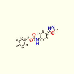 O=C(NC1CCC(c2nnco2)CC1)OCc1ccccc1